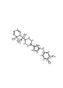 CC1(Cl)C=CC=CC1S(=O)(=O)C1CCN(c2nc(Cc3ccc(Cl)c(F)c3)cs2)CC1